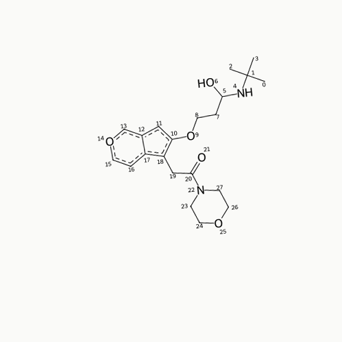 CC(C)(C)NC(O)CCOc1cc2coccc-2c1CC(=O)N1CCOCC1